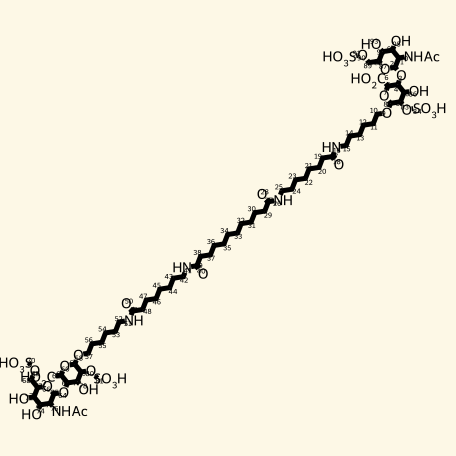 CC(=O)NC1C(OC2C(C(=O)O)OC(OCCCCCCNC(=O)CCCCCCCNC(=O)CCCCCCCCCCC(=O)NCCCCCCCC(=O)NCCCCCCOC3OC(C(=O)O)C(OC4OC(COS(=O)(=O)O)C(O)C(O)C4NC(C)=O)C(O)C3OS(=O)(=O)O)C(OS(=O)(=O)O)C2O)OC(COS(=O)(=O)O)C(O)C1O